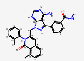 CNC(=O)c1cccc(-c2nn(Cc3cc4cccc(C)c4c(=O)n3-c3ccccc3C)c3ncnc(N)c23)c1